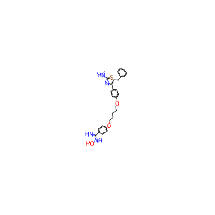 CNc1nc(-c2ccc(OCCCCCOc3ccc(C(=N)NO)cc3)cc2)c(Cc2ccccc2)s1